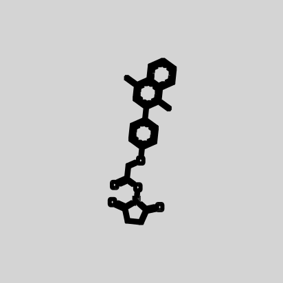 Cc1cc(-c2ccc(OCC(=O)ON3C(=O)CCC3=O)cc2)c(C)c2ccccc12